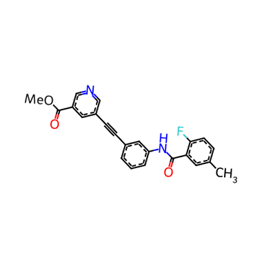 COC(=O)c1cncc(C#Cc2cccc(NC(=O)c3cc(C)ccc3F)c2)c1